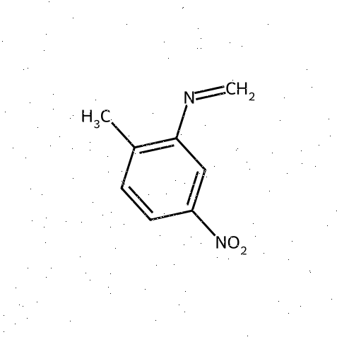 C=Nc1cc([N+](=O)[O-])ccc1C